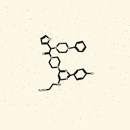 CC(=O)NCCNc1cc(N2CCN(C(=O)C(c3ccco3)N3CCN(c4ccccc4)CC3)CC2)nc(-c2ccc(Cl)cc2)n1